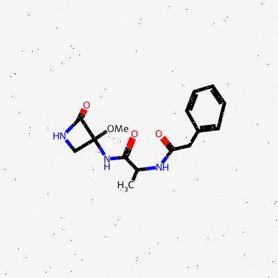 COC1(NC(=O)C(C)NC(=O)Cc2ccccc2)CNC1=O